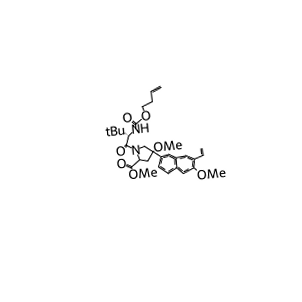 C=CCCOC(=O)N[C@H](C(=O)N1CC(OC)(c2ccc3cc(OC)c(C=C)cc3c2)CC1C(=O)OC)C(C)(C)C